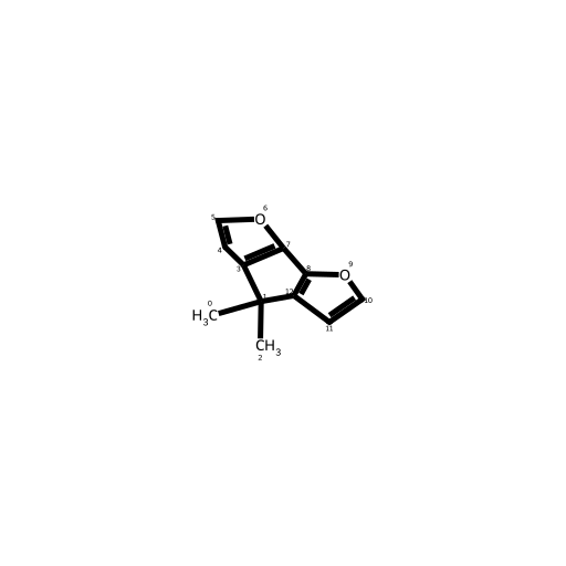 CC1(C)c2ccoc2-c2occc21